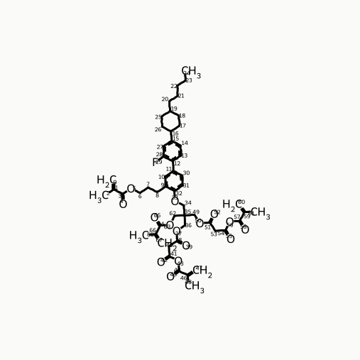 C=C(C)C(=O)OCCCc1cc(-c2ccc(C3CCC(CCCCC)CC3)cc2F)ccc1OCC(COC(=O)CC(=O)OC(=O)C(=C)C)(COC(=O)CC(=O)OC(=O)C(=C)C)COC(=O)C(=C)C